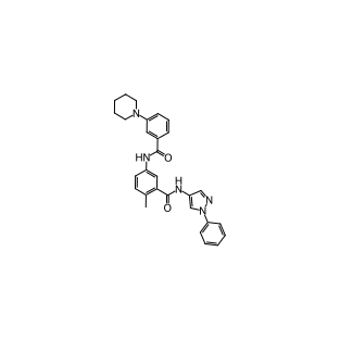 Cc1ccc(NC(=O)c2cccc(N3CCCCC3)c2)cc1C(=O)Nc1cnn(-c2ccccc2)c1